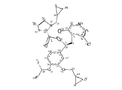 O=C(O[C@@H](Cc1c(Cl)cncc1Cl)c1ccc(OC(F)F)c(OCC2CC2)c1)[C@@H]1SCCN1CC1CC1